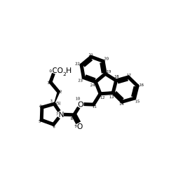 O=C(O)CC[C@@H]1CCCN1C(=O)OCC1c2ccccc2-c2ccccc21